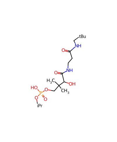 CC(C)OP(=O)(O)OCC(C)(C)C(O)C(=O)NCCC(=O)NCC(C)(C)C